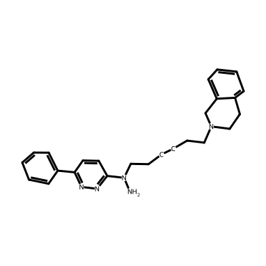 NN(CCCCCCN1CCc2ccccc2C1)c1ccc(-c2ccccc2)nn1